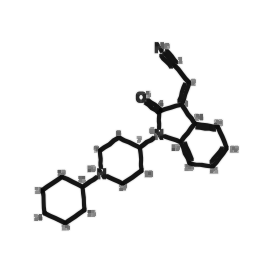 N#C/C=C1\C(=O)N(C2CCN(C3CCCCC3)CC2)c2ccccc21